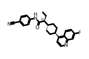 CC[C@H](C(=O)Nc1ccc(C#N)cc1)[C@H]1CC[C@H](c2ccnc3cc(F)ccc32)CC1